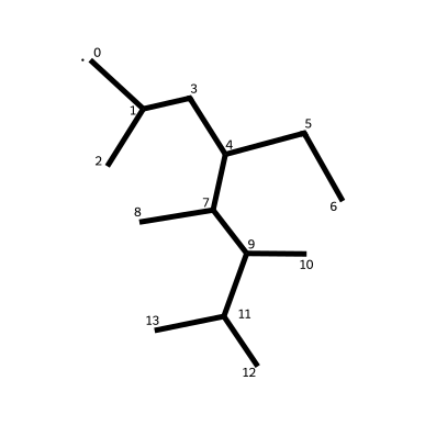 [CH2]C(C)CC(CC)C(C)C(C)C(C)C